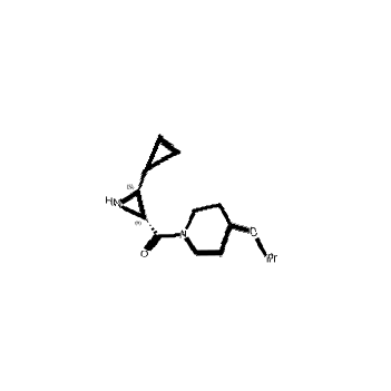 CC(C)OC1CCN(C(=O)[C@@H]2N[C@H]2C2CC2)CC1